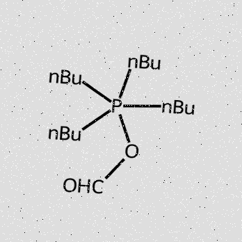 CCCCP(CCCC)(CCCC)(CCCC)OC=O